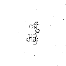 c1cc(-c2cc3c4c(c2)Oc2ccccc2B4c2ccccc2O3)cc(-n2c3ccccc3c3ccccc32)c1